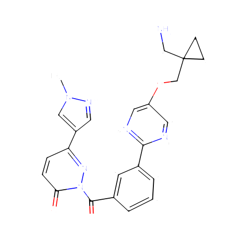 Cn1cc(-c2ccc(=O)n(C(=O)c3cccc(-c4ncc(OCC5(CN)CC5)cn4)c3)n2)cn1